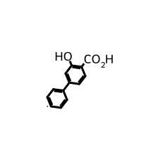 O=C(O)c1ccc(-c2cc[c]cc2)cc1O